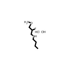 CCCCNCC(F)CON.Cl.Cl